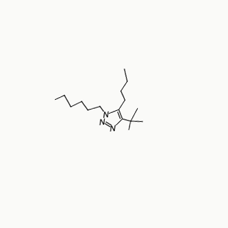 CCCCCCn1nnc(C(C)(C)C)c1CCCC